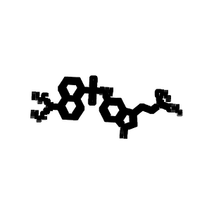 CN(C)CCc1c[nH]c2ccc(NS(=O)(=O)c3cccc4c(N(C)C)cccc34)cc12